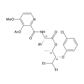 CCC(CC)[C@@H](Oc1cccc(Cl)c1)[C@H](C)OC(=O)[C@@H](NC(=O)c1nccc(OC)c1OC(C)=O)C(C)C